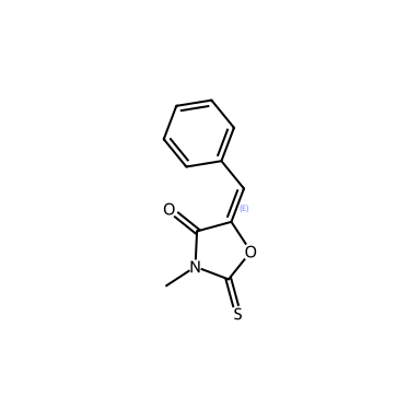 CN1C(=O)/C(=C\c2ccccc2)OC1=S